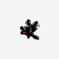 CCn1cc(C[N+]2(CC3=C(C(=O)OC(c4ccccc4)C4C=CC=CC4)N4C(=O)[C@@H](NC(=O)/C(=N\OC(C)(C)C(=O)OC(C)(C)C)c5nc(NC(=O)OC(C)(C)C)sc5Cl)[C@@]4(C)SC3)CCCC2)c(=O)c2c(Cl)c(OCc3ccc(OC)cc3)c(OCc3ccc(OC)cc3)cc21